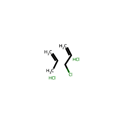 C=CC.C=CCCl.Cl.Cl